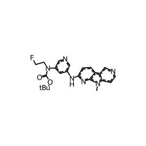 Cn1c2ccncc2c2ccc(Nc3cncc(N(CCF)C(=O)OC(C)(C)C)c3)nc21